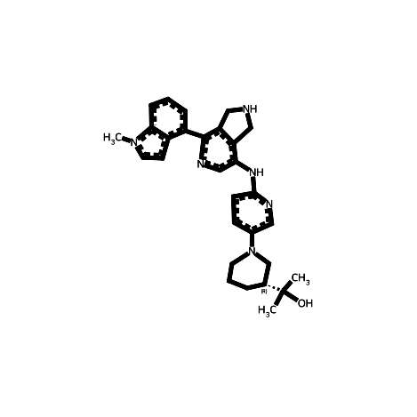 Cn1ccc2c(-c3ncc(Nc4ccc(N5CCC[C@@H](C(C)(C)O)C5)cn4)c4c3CNC4)cccc21